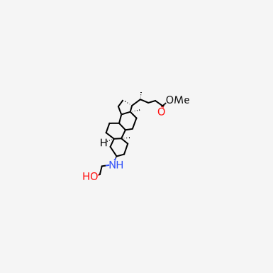 COC(=O)CC[C@@H](C)[C@H]1CCC2C3CC[C@@H]4C[C@H](NCCO)CC[C@]4(C)C3CC[C@@]21C